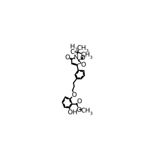 COC(=O)c1c(O)cccc1OCCCc1cccc(C2=CC(=O)N(C(C)(C)C)S2(=O)=O)c1